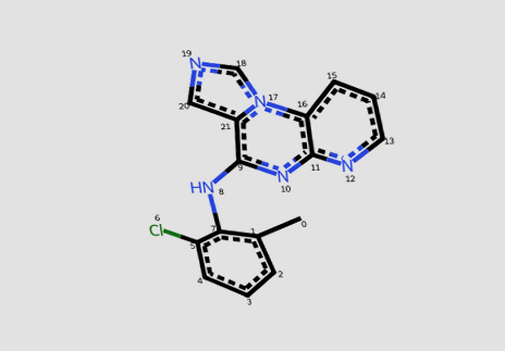 Cc1cccc(Cl)c1Nc1nc2ncccc2n2cncc12